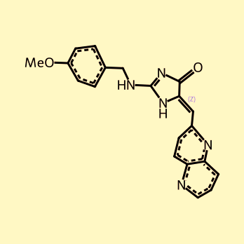 COc1ccc(CNC2=NC(=O)/C(=C/c3ccc4ncccc4n3)N2)cc1